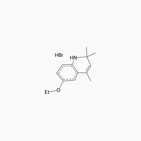 Br.CCOc1ccc2c(c1)C(C)=CC(C)(C)N2